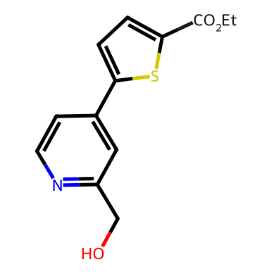 CCOC(=O)c1ccc(-c2ccnc(CO)c2)s1